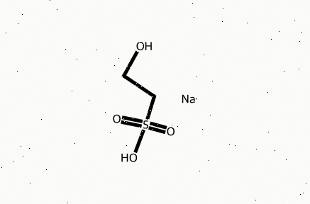 O=S(=O)(O)CCO.[Na]